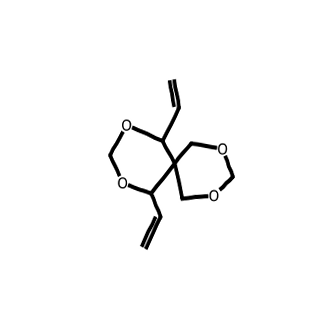 C=CC1OCOC(C=C)C12COCOC2